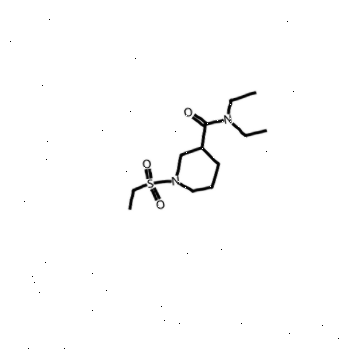 CCN(CC)C(=O)C1CCCN(S(=O)(=O)CC)C1